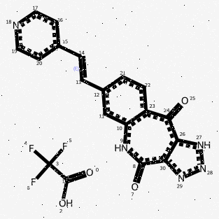 O=C(O)C(F)(F)F.O=c1[nH]c2cc(/C=C/c3ccncc3)ccc2c(=O)c2[nH]nnc12